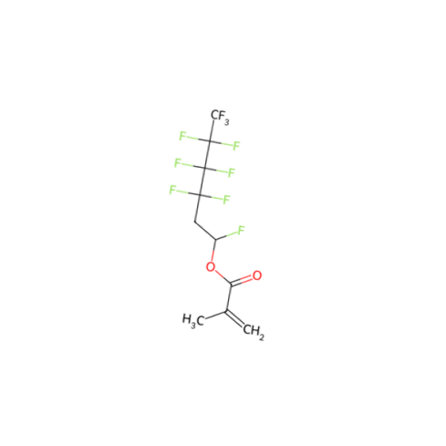 C=C(C)C(=O)OC(F)CC(F)(F)C(F)(F)C(F)(F)C(F)(F)F